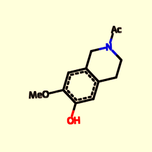 COc1cc2c(cc1O)CCN(C(C)=O)C2